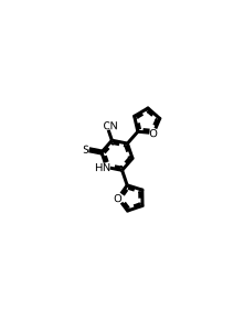 N#Cc1c(-c2ccco2)cc(-c2ccco2)[nH]c1=S